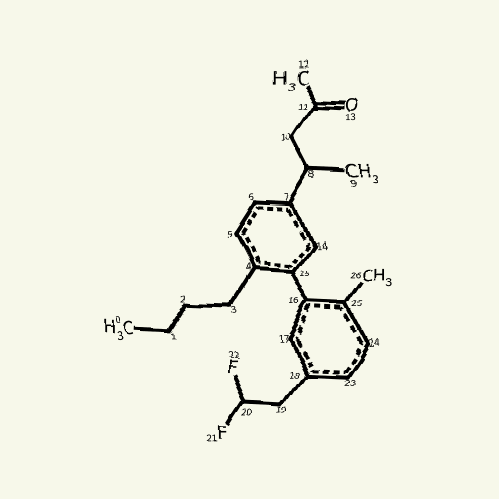 CCCCc1ccc(C(C)CC(C)=O)cc1-c1cc(CC(F)F)ccc1C